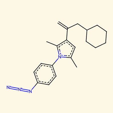 C=C(CC1CCCCC1)c1cc(C)n(-c2ccc(N=[N+]=[N-])cc2)c1C